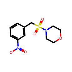 O=[N+]([O-])c1cccc(CS(=O)(=O)N2CCOCC2)c1